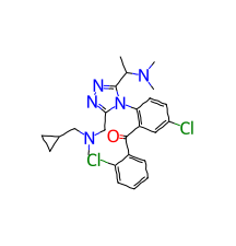 CC(c1nnc(CN(C)CC2CC2)n1-c1ccc(Cl)cc1C(=O)c1ccccc1Cl)N(C)C